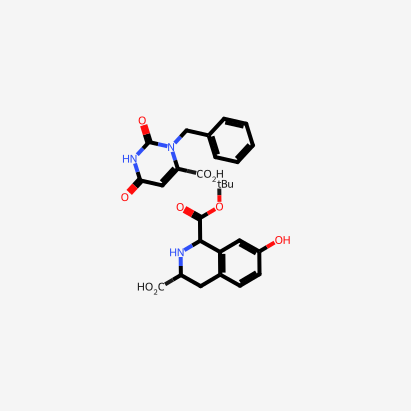 CC(C)(C)OC(=O)C1NC(C(=O)O)Cc2ccc(O)cc21.O=C(O)c1cc(=O)[nH]c(=O)n1Cc1ccccc1